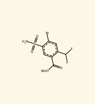 COC(=O)c1cc(S(N)(=O)=O)c(Br)cc1C(F)F